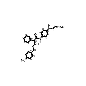 CNCCNc1ccc(NC(=O)[C@@H](NCCc2ccc(C#N)cc2)c2ccccc2)cc1